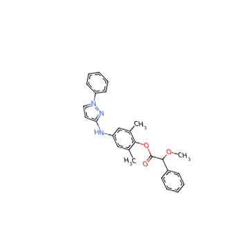 COC(C(=O)Oc1c(C)cc(Nc2ccn(-c3ccccc3)n2)cc1C)c1ccccc1